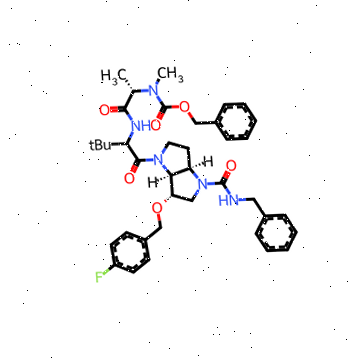 C[C@@H](C(=O)NC(C(=O)N1CC[C@@H]2[C@H]1[C@@H](OCc1ccc(F)cc1)CN2C(=O)NCc1ccccc1)C(C)(C)C)N(C)C(=O)OCc1ccccc1